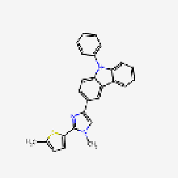 Cc1ccc(-c2nc(-c3ccc4c(c3)c3ccccc3n4-c3ccccc3)cn2C)s1